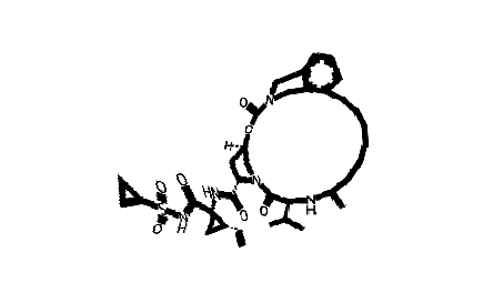 C=C[C@@H]1C[C@]1(NC(=O)[C@@H]1C[C@@H]2CN1C(=O)[C@H](C(C)C)NC(C)CCCCCCc1cccc3c1CN(C3)C(=O)O2)C(=O)NS(=O)(=O)C1CC1